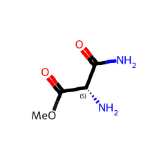 COC(=O)[C@@H](N)C(N)=O